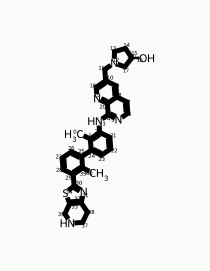 Cc1c(Nc2nccc3cc(CN4CC[C@@H](O)C4)cnc23)cccc1-c1cccc(-c2nc3c(s2)CNCC3)c1C